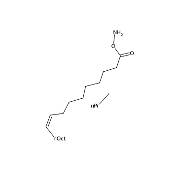 CCCC.CCCCCCCC/C=C\CCCCCCCC(=O)ON